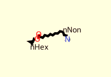 CCCCCCCCCC(CCCCCCCCC(=O)OCC1CC1CCCCCC)CCN(C)C